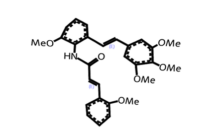 COc1ccccc1/C=C/C(=O)Nc1c(/C=C/c2cc(OC)c(OC)c(OC)c2)cccc1OC